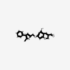 Cc1sc(COc2cc(F)c3c(c2)OCC(C=O)=C3)cc1-c1ccccc1